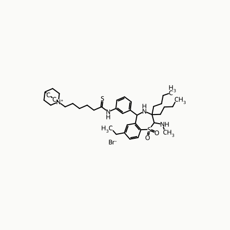 CCCCC1(CCCC)NC(c2cccc(NC(=S)CCCCC[N+]34CCC(CC3)CC4)c2)c2cc(CC)ccc2S(=O)(=O)C1NC.[Br-]